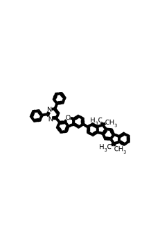 CC1(C)c2ccccc2-c2cc3c(cc21)-c1ccc(-c2ccc4oc5c(-c6cc(-c7ccccc7)nc(-c7ccccc7)n6)cccc5c4c2)cc1C3(C)C